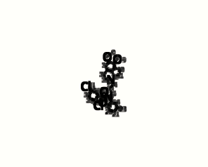 COc1cc2c3c(c1OC)CCC3N(CCCN(c1cccc(C)c1)S(=O)(=O)c1cc(Cl)ccc1Cl)CC2